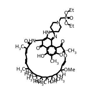 CCOP(=O)(CN1CCC2(CC1)N=C1C(=C3NC(=O)/C(C)=C\C=C\[C@H](C)[C@H](O)[C@@H](C)[C@@H](O)[C@@H](C)[C@H](O)[C@H](C)[C@@H](OC)/C=C/O[C@@]4(C)Oc5c(C)c(O)c(c1c5C4=O)C3=O)N2)OCC